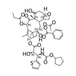 CCC(=O)O[C@H]1C(=O)[C@@]2(C)C([C@H](OC(=O)c3ccccc3)[C@]3(O)C[C@H](OC(=O)[C@H](O)[C@@H](NC(=O)OC4CCCC4)c4cccs4)C(C)=C1C3(C)C)[C@]1(OC(C)=O)CO[C@@H]1C[C@@H]2O